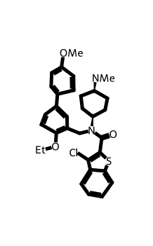 CCOc1ccc(-c2ccc(OC)cc2)cc1CN(C(=O)c1sc2ccccc2c1Cl)[C@H]1CC[C@@H](NC)CC1